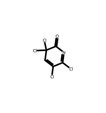 O=C1N=C(Cl)C(Cl)=CC1(Cl)Cl